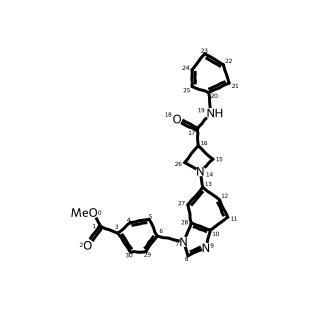 COC(=O)c1ccc(-n2cnc3ccc(N4CC(C(=O)Nc5ccccc5)C4)cc32)cc1